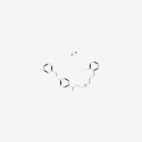 COc1ccccc1CCCC(C)(C)NCC(O)c1ccc(OCc2ccccc2)cc1.O=S(=O)(O)O